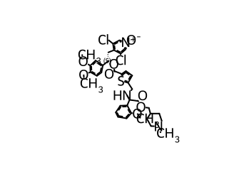 COc1ccc([C@H](Cc2c(Cl)c[n+]([O-])cc2Cl)OC(=O)c2ccc(CNC(C(=O)OCC3CCN(C)CC3)c3ccccc3OC)s2)cc1OC